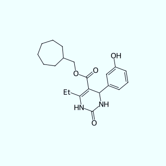 CCC1=C(C(=O)OCC2CCCCCC2)C(c2cccc(O)c2)NC(=O)N1